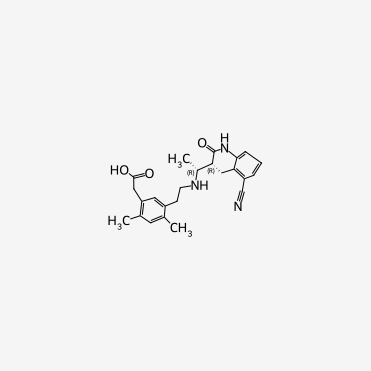 Cc1cc(C)c(CC(=O)O)cc1CCN[C@H](C)[C@H]1Cc2c(C#N)cccc2NC1=O